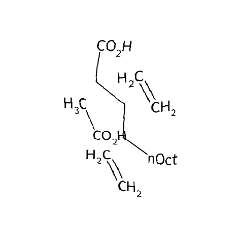 C=C.C=C.CC(=O)O.CCCCCCCCCCCC(=O)O